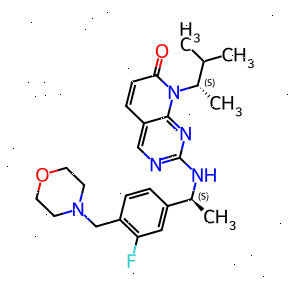 CC(C)[C@H](C)n1c(=O)ccc2cnc(N[C@@H](C)c3ccc(CN4CCOCC4)c(F)c3)nc21